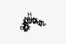 CN1CCN(c2ccc(Nc3ncc4cc5n(c4n3)CCN(C)C5=O)nc2)CC1